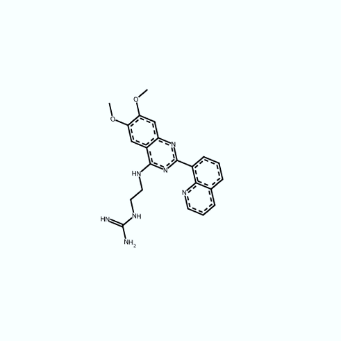 COc1cc2nc(-c3cccc4cccnc34)nc(NCCNC(=N)N)c2cc1OC